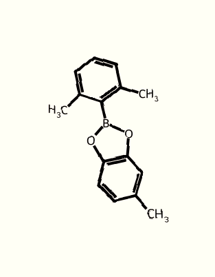 Cc1ccc2c(c1)OB(c1c(C)cccc1C)O2